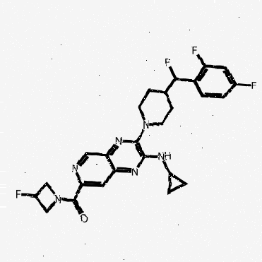 O=C(c1cc2nc(NC3CC3)c(N3CCC(C(F)c4ccc(F)cc4F)CC3)nc2cn1)N1CC(F)C1